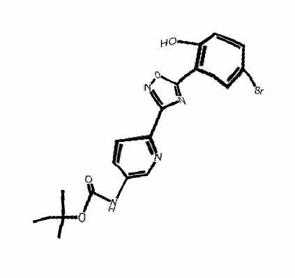 CC(C)(C)OC(=O)Nc1ccc(-c2noc(-c3cc(Br)ccc3O)n2)nc1